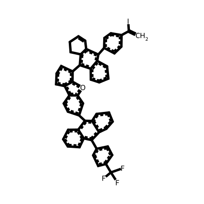 C=C(I)c1ccc(-c2c3c(c(-c4cccc5c4oc4cc(-c6c7ccccc7c(-c7ccc(C(F)(F)F)cc7)c7ccccc67)ccc45)c4ccccc24)CCC=C3)cc1